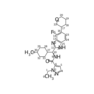 CCn1nccc1C(=O)N[C@H](c1nc2c(F)c(C3CCCOC3)ccc2[nH]1)C1CCC(C)CC1